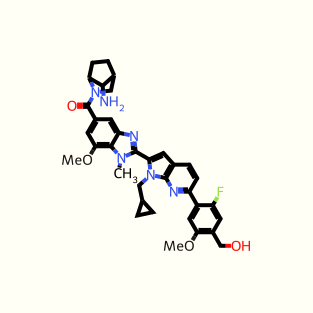 COc1cc(-c2ccc3cc(-c4nc5cc(C(=O)N6CC7CCC6C7N)cc(OC)c5n4C)n(CC4CC4)c3n2)c(F)cc1CO